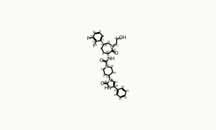 O=C(N[C@@H]1CC[C@@H](c2cccc(F)c2F)CN(CCO)C1=O)N1CCC(n2cc(-c3ccccc3)[nH]c2=O)CC1